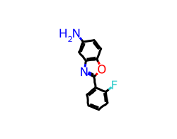 Nc1ccc2oc(-c3ccccc3F)nc2c1